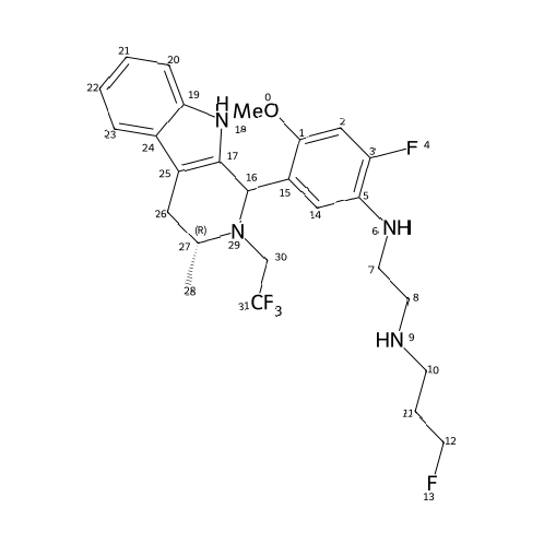 COc1cc(F)c(NCCNCCCF)cc1C1c2[nH]c3ccccc3c2C[C@@H](C)N1CC(F)(F)F